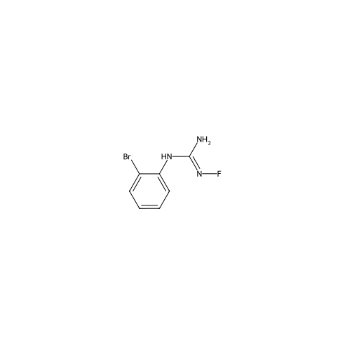 NC(=NF)Nc1ccccc1Br